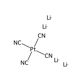 N#[C][Pt]([C]#N)([C]#N)[C]#N.[Li].[Li].[Li].[Li]